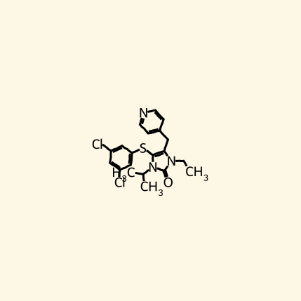 CCn1c(Cc2ccncc2)c(Sc2cc(Cl)cc(Cl)c2)n(C(C)C)c1=O